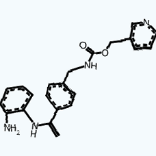 C=C(Nc1ccccc1N)c1ccc(CNC(=O)OCc2cccnc2)cc1